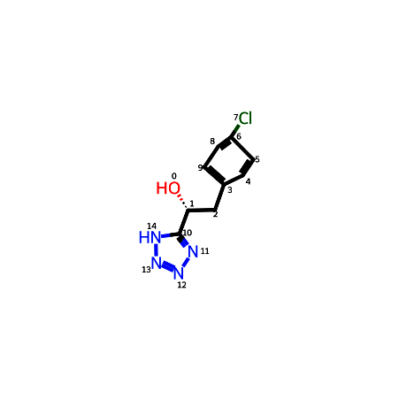 O[C@H](Cc1ccc(Cl)cc1)c1nnn[nH]1